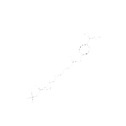 CC(C)(C)OC(=O)NCCOCCOC(=O)Oc1ccc(C(=O)O)cc1